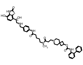 CN(CCCCC(=O)Nc1ccc(CNC[C@H](O)c2ccc(O)c3[nH]c(=O)sc23)cc1)C(=O)CCN1CCC2(CC1)CC(OC(=O)Nc1ccccc1-c1ccccc1)C2